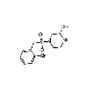 O=S(=O)(Cc1ccccc1Br)N1CCNC(O)C1